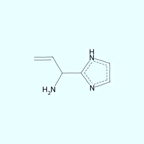 C=CC(N)c1ncc[nH]1